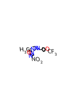 CC1(CN2CCN(N=Cc3ccc(OC(F)(F)F)cc3)CC2)Cn2cc([N+](=O)[O-])nc2O1